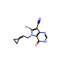 N#Cc1c(Br)n(CC=C2CC2)c2c(=O)[nH]cnc12